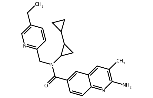 CCc1ccc(CN(C(=O)c2ccc3nc(N)c(C)cc3c2)C2CC2C2CC2)nc1